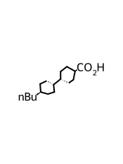 CCCC[C@H]1CC[C@H]([C@H]2CC[C@H](C(=O)O)CC2)CC1